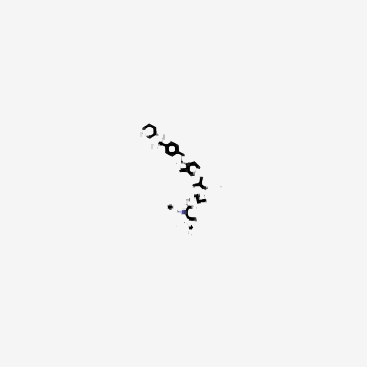 CC(C)(O/N=C(\C(=O)N[C@@H]1C(=O)N2C(C(=O)[O-])=C(C[n+]3ccc4c(cnn4Cc4ccc(C(=N)N[C@@H]5CCCNC5)cc4)c3)CS[C@H]12)c1csc(N)n1)C(=O)O